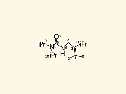 CC(C)=C(CNC(=O)N(C(C)C)C(C)C)C(C)C